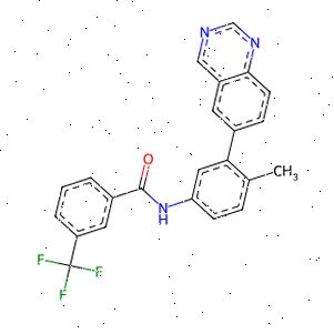 Cc1ccc(NC(=O)c2cccc(C(F)(F)F)c2)cc1-c1ccc2ncncc2c1